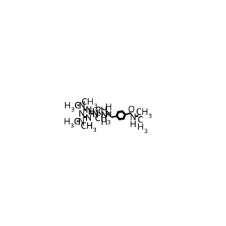 CN(C)c1nc(N(C)C)nc(N(C)C)n1.CNNCc1ccc(C(=O)NC(C)C)cc1